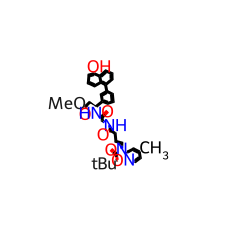 COC(=O)C[C@H](NC(=O)CNC(=O)CCCN(C(=O)OC(C)(C)C)c1cc(C)ccn1)c1cccc(-c2cccc3c(O)cccc23)c1